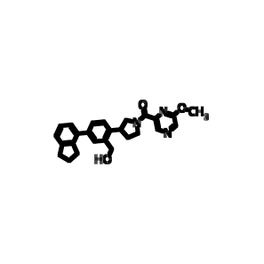 COc1cncc(C(=O)N2CCC(c3ccc(-c4cccc5c4CCC5)cc3CO)C2)n1